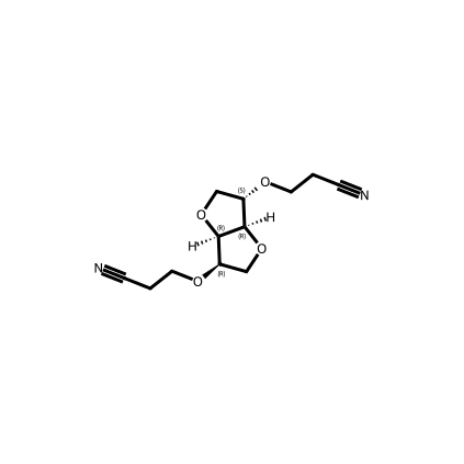 N#CCCO[C@H]1CO[C@H]2[C@@H]1OC[C@H]2OCCC#N